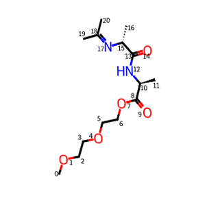 COCCOCCOC(=O)[C@H](C)NC(=O)[C@@H](C)N=C(C)C